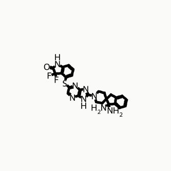 NC1(N)c2ccccc2CC12CCN(c1nc3nc(Sc4cccc5c4C(F)(F)C(=O)N5)cnc3[nH]1)CC2